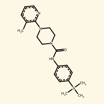 Cc1cccnc1N1CCN(C(=O)Nc2ccc([Si](C)(C)C)cc2)CC1